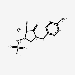 COc1ccc(CN2C[C@@H](NS(C)(=O)=O)[C@@](C)(F)C2=O)cc1